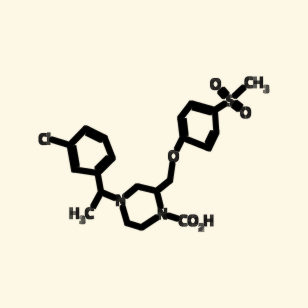 CC(c1cccc(Cl)c1)N1CCN(C(=O)O)C(COc2ccc(S(C)(=O)=O)cc2)C1